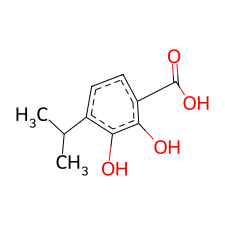 CC(C)c1ccc(C(=O)O)c(O)c1O